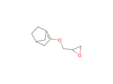 C1CC2CC1=C(OCC1CO1)C2